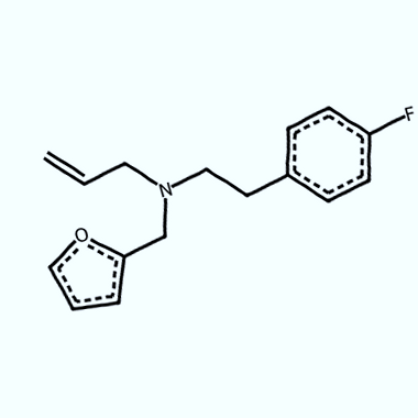 C=CCN(CCc1ccc(F)cc1)Cc1ccco1